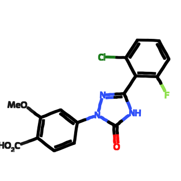 COc1cc(-n2nc(-c3c(F)cccc3Cl)[nH]c2=O)ccc1C(=O)O